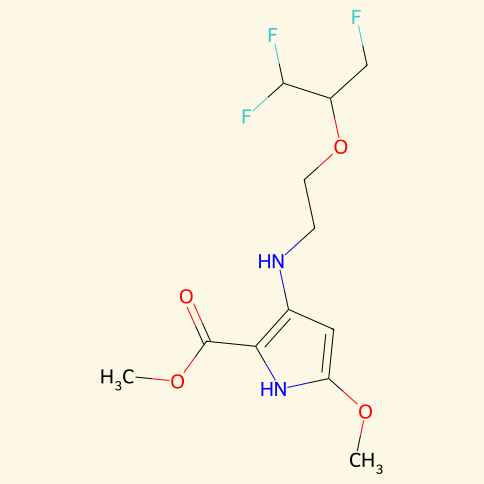 COC(=O)c1[nH]c(OC)cc1NCCOC(CF)C(F)F